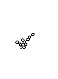 c1ccc(-c2ccc3cc(-c4c5ccccc5c(-c5c6oc7ccccc7c6cc6oc7ccccc7c56)c5ccccc45)ccc3c2)cc1